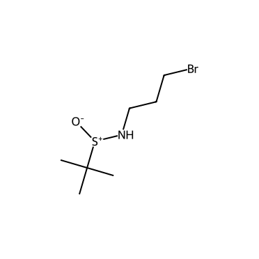 CC(C)(C)[S+]([O-])NCCCBr